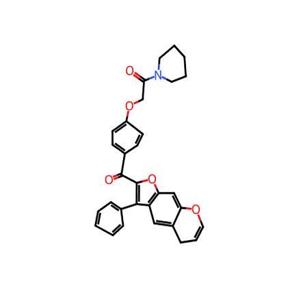 O=C(c1ccc(OCC(=O)N2CCCCC2)cc1)c1oc2cc3c(cc2c1-c1ccccc1)CC=CO3